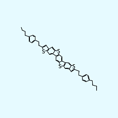 CCCCc1ccc(CCc2cc3cc4sc5cc6c(cc5c4cc3s2)sc2cc3cc(CCc4ccc(CCCC)cc4)sc3cc26)cc1